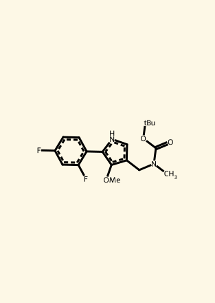 COc1c(CN(C)C(=O)OC(C)(C)C)c[nH]c1-c1ccc(F)cc1F